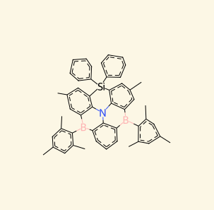 Cc1cc(C)c(B2c3cccc4c3N3c5c2cc(C)cc5[Si](c2ccccc2)(c2ccccc2)c2cc(C)cc(c23)B4c2c(C)cc(C)cc2C)c(C)c1